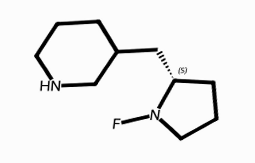 FN1CCC[C@H]1CC1CCCNC1